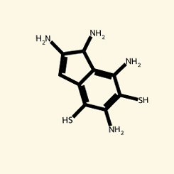 NC1=Cc2c(S)c(N)c(S)c(N)c2C1N